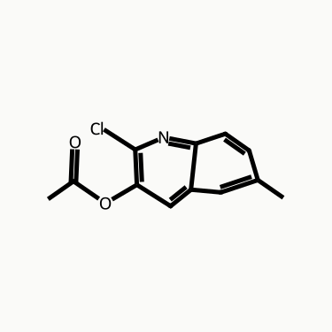 CC(=O)Oc1cc2cc(C)ccc2nc1Cl